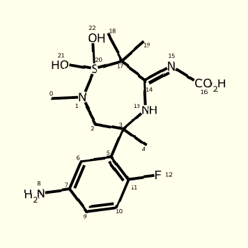 CN1CC(C)(c2cc(N)ccc2F)NC(=NC(=O)O)C(C)(C)S1(O)O